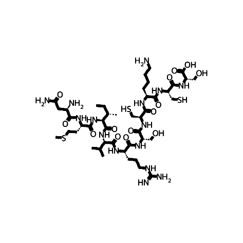 CC[C@H](C)[C@H](NC(=O)[C@H](CCSC)NC(=O)[C@@H](N)CC(N)=O)C(=O)N[C@H](C(=O)N[C@@H](CCCNC(=N)N)C(=O)N[C@@H](CO)C(=O)N[C@@H](CS)C(=O)N[C@@H](CCCCN)C(=O)N[C@@H](CS)C(=O)N[C@@H](CO)C(=O)O)C(C)C